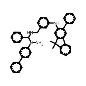 CC1(C)c2ccccc2-c2cc(-c3ccccc3)c(Nc3cccc(CNC(c4ccccc4)N(N)c4ccc(-c5ccccc5)cc4)c3)cc21